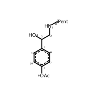 CCCC(C)NCC(O)c1ccc(OC(C)=O)cc1